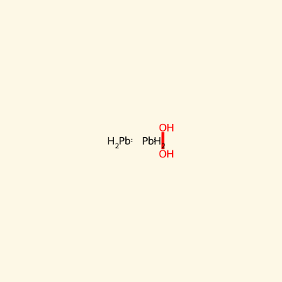 OO.[PbH2].[PbH2]